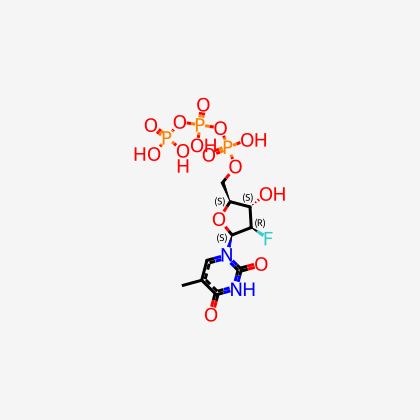 Cc1cn([C@H]2O[C@@H](COP(=O)(O)OP(=O)(O)OP(=O)(O)O)[C@H](O)[C@H]2F)c(=O)[nH]c1=O